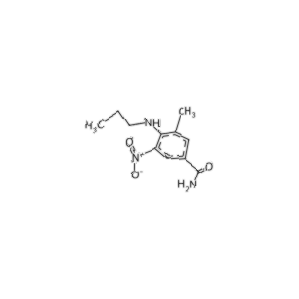 CCCNc1c(C)cc(C(N)=O)cc1[N+](=O)[O-]